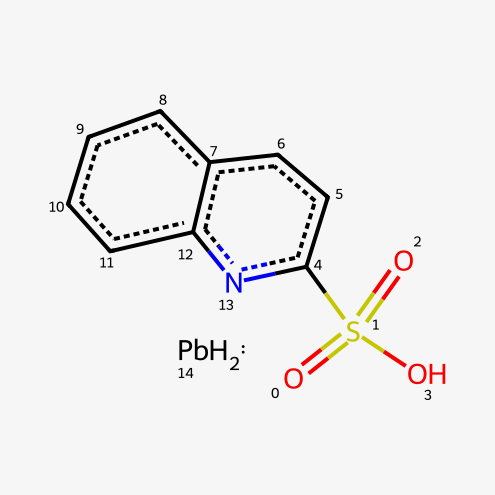 O=S(=O)(O)c1ccc2ccccc2n1.[PbH2]